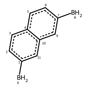 Bc1ccc2ccc(B)cc2c1